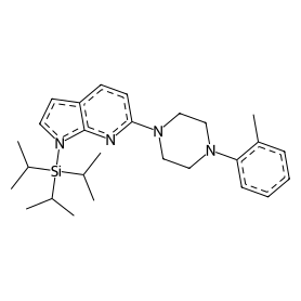 Cc1ccccc1N1CCN(c2ccc3ccn([Si](C(C)C)(C(C)C)C(C)C)c3n2)CC1